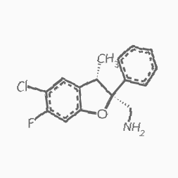 C[C@H]1c2cc(Cl)c(F)cc2O[C@]1(CN)c1ccccc1